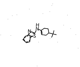 CC(C)(C)C1CC=C(Nc2nc3ccccc3s2)CC1